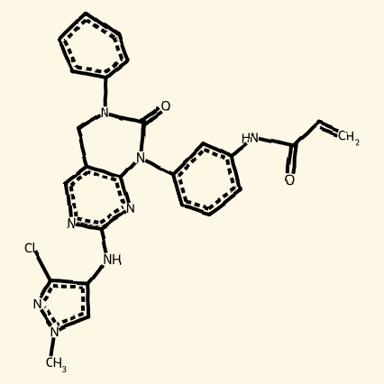 C=CC(=O)Nc1cccc(N2C(=O)N(c3ccccc3)Cc3cnc(Nc4cn(C)nc4Cl)nc32)c1